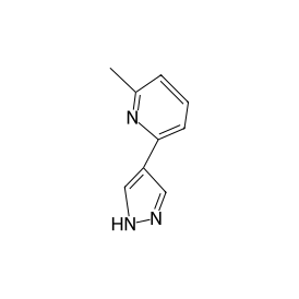 Cc1cccc(-c2cn[nH]c2)n1